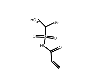 C=CC(=O)NS(=O)(=O)C(C(C)C)S(=O)(=O)O